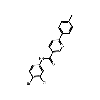 Cc1ccc(-c2ccc(C(=O)Nc3ccc(Br)c(Cl)c3)cn2)cc1